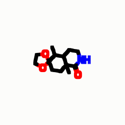 CC1C2CCNC(=O)C2(C)CCC12OCCO2